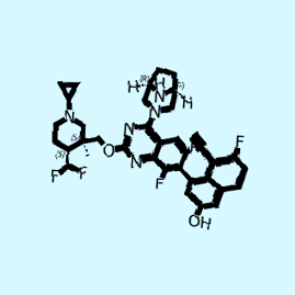 C#Cc1c(F)ccc2cc(O)cc(-c3c(F)cc4c(N5C[C@H]6CC[C@@H](C5)N6)nc(OC[C@]5(C)CN(C6CC6)CC[C@@H]5C(F)F)nc4c3F)c12